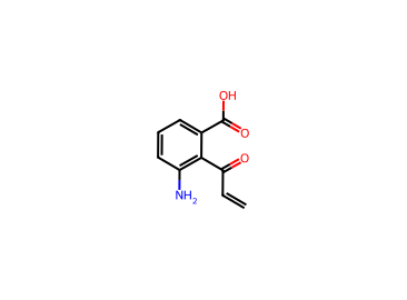 C=CC(=O)c1c(N)cccc1C(=O)O